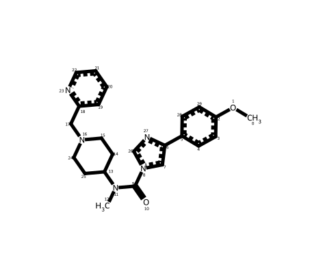 COc1ccc(-c2cn(C(=O)N(C)C3CCN(Cc4ccccn4)CC3)cn2)cc1